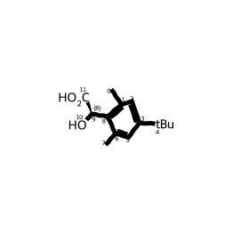 Cc1cc(C(C)(C)C)cc(C)c1[C@@H](O)C(=O)O